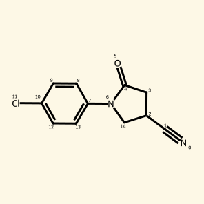 N#CC1CC(=O)N(c2ccc(Cl)cc2)C1